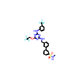 CNS(=O)(=O)c1cccc(-c2cccc(CNc3nc(Nc4cccc(C(F)(F)F)c4)nc(OCC(F)(F)F)n3)c2)c1